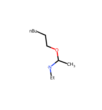 CCCCCCOC(C)[N]CC